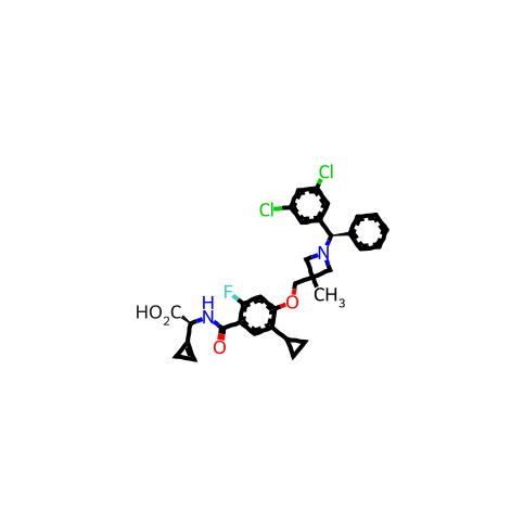 CC1(COc2cc(F)c(C(=O)N[C@H](C(=O)O)C3=CC3)cc2C2CC2)CN([C@H](c2ccccc2)c2cc(Cl)cc(Cl)c2)C1